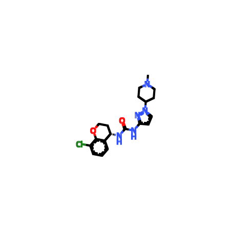 CN1CCC(n2ccc(NC(=O)N[C@H]3CCOc4c(Cl)cccc43)n2)CC1